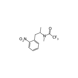 CC(Cc1ccccc1[N+](=O)[O-])N(C)C(=O)C(F)(F)F